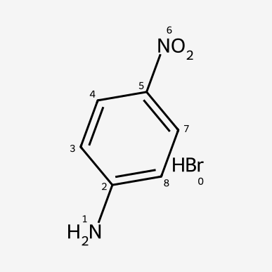 Br.Nc1ccc([N+](=O)[O-])cc1